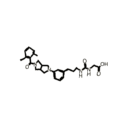 Cc1cccc(C)c1C(=O)N1CC2CN(c3cccc(CCCNC(=O)NCC(=O)O)c3)CC2C1